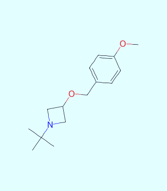 COc1ccc(COC2CN(C(C)(C)C)C2)cc1